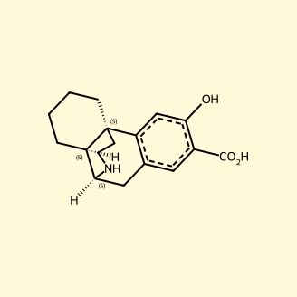 O=C(O)c1cc2c(cc1O)[C@]13CCCC[C@@H]1[C@H](C2)NCC3